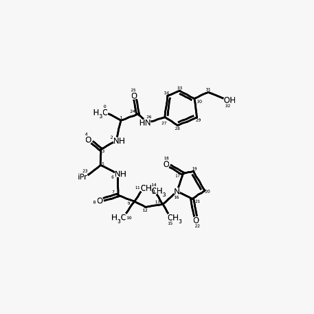 CC(NC(=O)C(NC(=O)C(C)(C)CC(C)(C)N1C(=O)C=CC1=O)C(C)C)C(=O)Nc1ccc(CO)cc1